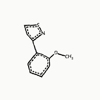 COc1ccccc1-c1ccsn1